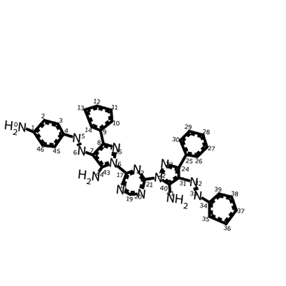 Nc1ccc(/N=N/c2c(-c3ccccc3)nn(-c3ncnc(-n4nc(-c5ccccc5)c(/N=N/c5ccccc5)c4N)n3)c2N)cc1